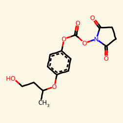 CC(CCO)Oc1ccc(OC(=O)ON2C(=O)CCC2=O)cc1